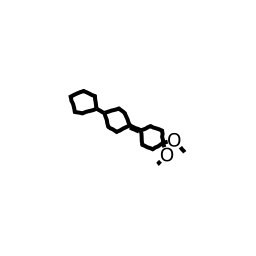 COC1(OC)CCC(=C2CCC(C3CCCCC3)CC2)CC1